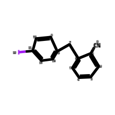 N#Cc1ccccc1Cc1ccc(I)cc1